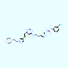 O=C(Nc1cccc(CF)c1)Nc1ncc(CCNc2ncnc3cc(-c4cnn(CCN5CCOCC5)c4)sc23)s1